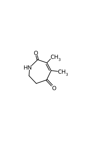 CC1=C(C)C(=O)NCCC1=O